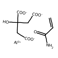 C=CC(N)=O.O=C([O-])CC(O)(CC(=O)[O-])C(=O)[O-].[Al+3]